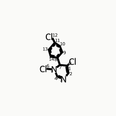 ClC1=CN=[C]N(Cl)C1c1ccc(Cl)cc1